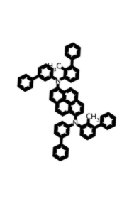 Cc1c(-c2ccccc2)cccc1N(c1cccc(-c2ccccc2)c1)c1ccc2ccc3c(N(c4cccc(-c5ccccc5)c4)c4cccc(-c5ccccc5)c4C)ccc4ccc1c2c43